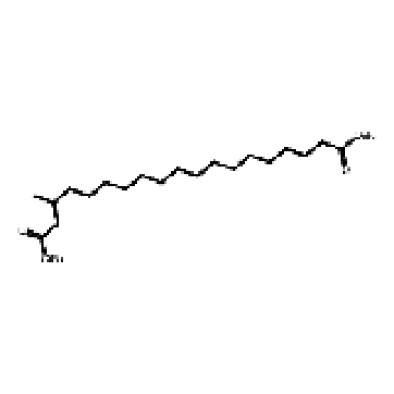 CC(C)COC(=O)CCCCCCCCCCCCCCCC(C)CC(=O)OCC(C)C